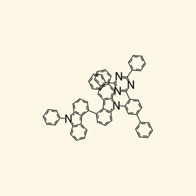 c1ccc(-c2ccc(-c3nc(-c4ccccc4)nc(-c4ccccc4)n3)c(-n3c4cc5ccccc5cc4c4c(-c5cccc6c5c5ccccc5n6-c5ccccc5)cccc43)c2)cc1